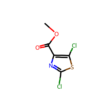 COC(=O)c1nc(Cl)sc1Cl